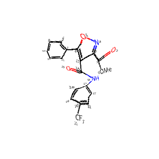 COC(=O)c1noc(-c2ccccc2)c1C(=O)Nc1ccc(C(F)(F)F)cc1